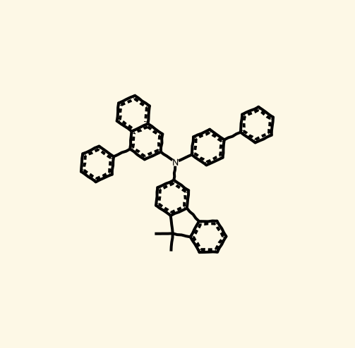 CC1(C)c2ccccc2-c2cc(N(c3ccc(-c4ccccc4)cc3)c3cc(-c4ccccc4)c4ccccc4c3)ccc21